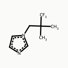 CC(C)(Cn1ccnc1)C(F)(F)F